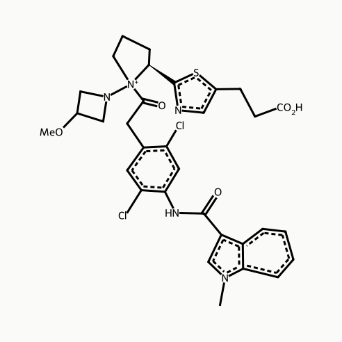 COC1CN([N+]2(C(=O)Cc3cc(Cl)c(NC(=O)c4cn(C)c5ccccc45)cc3Cl)CCC[C@H]2c2ncc(CCC(=O)O)s2)C1